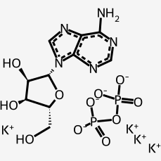 Nc1ncnc2c1ncn2[C@@H]1O[C@H](CO)[C@@H](O)[C@H]1O.O=P([O-])([O-])OP(=O)([O-])[O-].[K+].[K+].[K+].[K+]